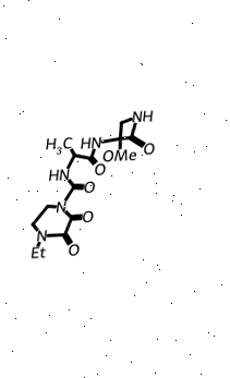 CCN1CCN(C(=O)NC(C)C(=O)NC2(OC)CNC2=O)C(=O)C1=O